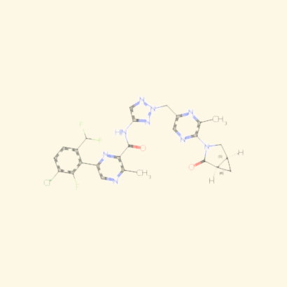 Cc1ncc(-c2c(C(F)F)ccc(Cl)c2F)nc1C(=O)Nc1cnn(Cc2cnc(N3C[C@H]4C[C@H]4C3=O)c(C)n2)n1